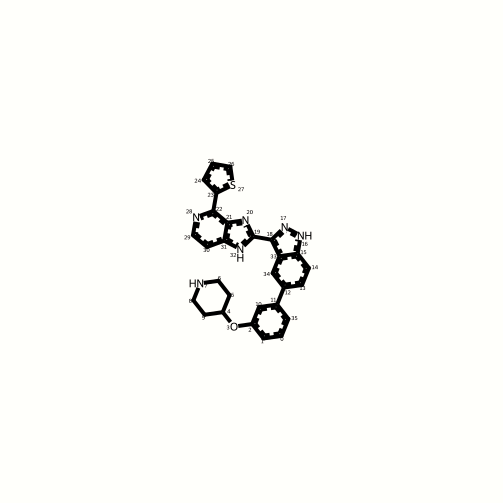 c1cc(OC2CCNCC2)cc(-c2ccc3[nH]nc(-c4nc5c(-c6cccs6)nccc5[nH]4)c3c2)c1